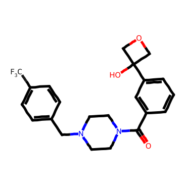 O=C(c1cccc(C2(O)COC2)c1)N1CCN(Cc2ccc(C(F)(F)F)cc2)CC1